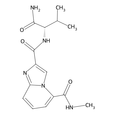 CNC(=O)c1cccc2nc(C(=O)N[C@H](C(N)=O)C(C)C)cn12